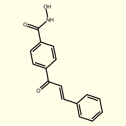 O=C(C=Cc1ccccc1)c1ccc(C(=O)NO)cc1